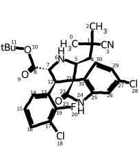 CC(C)(C#N)C[C@@H]1N[C@@H](C(=O)OC(C)(C)C)[C@H](c2cccc(Cl)c2F)[C@]12C(=O)Nc1cc(Cl)ccc12